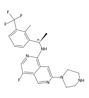 Cc1c([C@@H](C)Nc2ncc(F)c3cnc(N4CCNCC4)cc23)cccc1C(F)(F)F